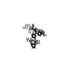 CCC1CN(Cc2cc(C(c3ccc4c(nnn4CC)c3C)C(C)(C)C(=O)NC(CC(=O)O)C(=O)O)ccc2C)S(O)(O)c2ccccc2O1